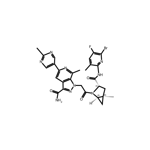 Cc1ncc(-c2cc3c(C(N)=O)nn(CC(=O)N4[C@H](C(=O)Nc5nc(Br)c(F)cc5C)C[C@@]5(C)C[C@@H]45)c3c(C)n2)cn1